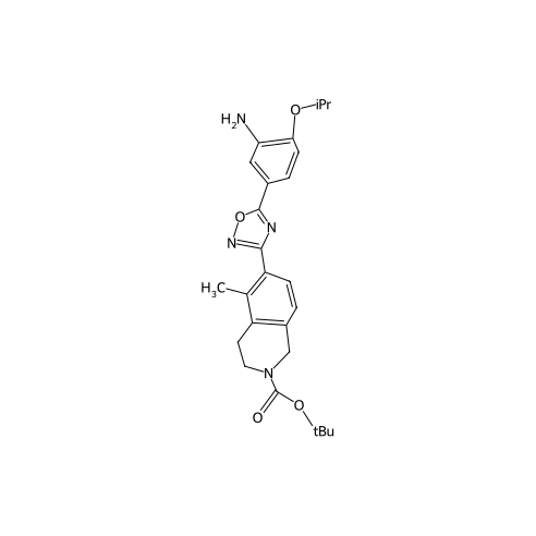 Cc1c(-c2noc(-c3ccc(OC(C)C)c(N)c3)n2)ccc2c1CCN(C(=O)OC(C)(C)C)C2